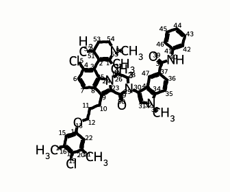 CC1=C(c2c(Cl)ccc3c(CCCOc4cc(C)c(Cl)c(C)c4)c4n(c23)[C@H](C)CN(c2cn(C)c3ccc(C(=O)Nc5ccccc5)cc23)C4=O)C(C)CCN1C